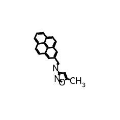 Cc1cc(N=Cc2cc3ccc4cccc5ccc(c2)c3c45)no1